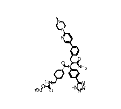 CN1CCN(c2ccc(-c3cccc(C[C@@H](C(N)=O)N(c4ccc(-c5nnn[nH]5)cc4)C(=O)[C@H]4CC[C@H](CNC(=O)OC(C)(C)C)CC4)c3)cn2)CC1